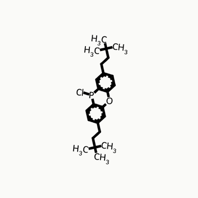 CC(C)(C)CCc1ccc2c(c1)Oc1ccc(CCC(C)(C)C)cc1P2Cl